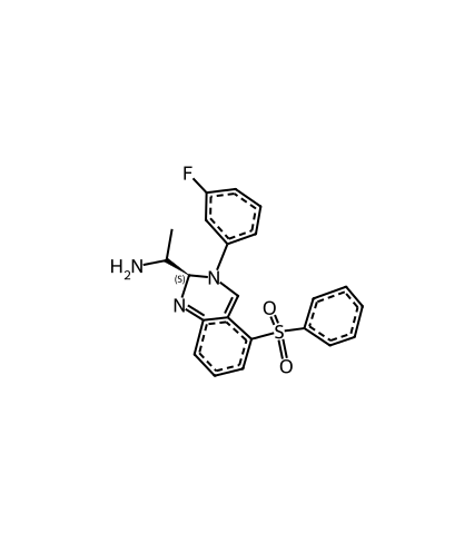 CC(N)[C@@H]1N=c2cccc(S(=O)(=O)c3ccccc3)c2=CN1c1cccc(F)c1